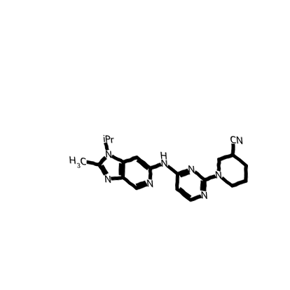 Cc1nc2cnc(Nc3ccnc(N4CCCC(C#N)C4)n3)cc2n1C(C)C